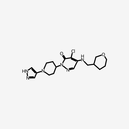 O=c1c(Cl)c(NCC2CCCOC2)cnn1C1CCN(c2cn[nH]c2)CC1